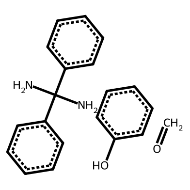 C=O.NC(N)(c1ccccc1)c1ccccc1.Oc1ccccc1